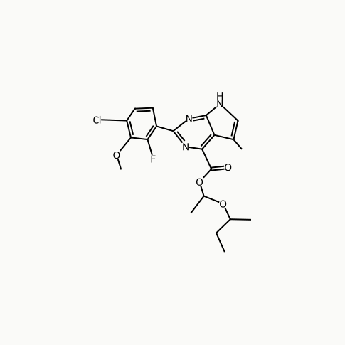 CCC(C)OC(C)OC(=O)c1nc(-c2ccc(Cl)c(OC)c2F)nc2[nH]cc(C)c12